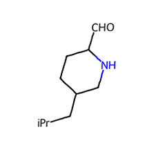 CC(C)CC1CCC(C=O)NC1